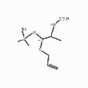 C=CCO[C@@H](O[Si](C)(C)C(C)(C)C)C(C)NC(=O)O